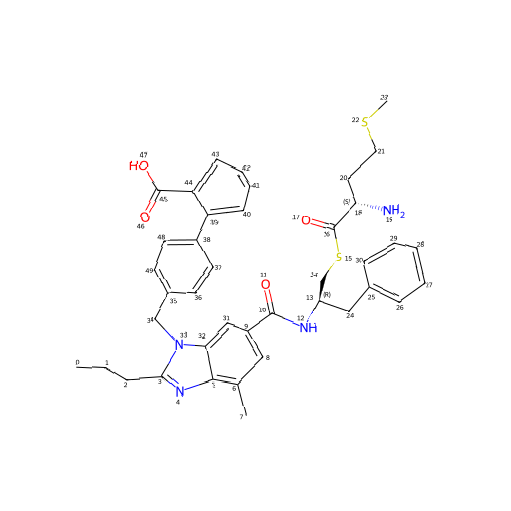 CCCc1nc2c(C)cc(C(=O)N[C@@H](CSC(=O)[C@@H](N)CCSC)Cc3ccccc3)cc2n1Cc1ccc(-c2ccccc2C(=O)O)cc1